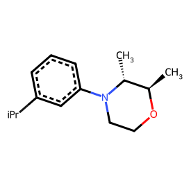 CC(C)c1cccc(N2CCO[C@H](C)[C@H]2C)c1